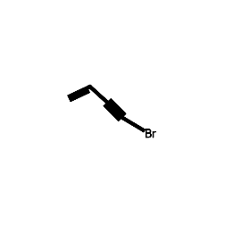 C=CC#CBr